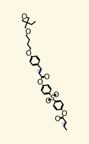 C/C=C/C(=O)Oc1ccc(S(=O)(=O)c2ccc(OC(=O)/C=C/c3ccc(OCCCCOCC4(CC)COC4)cc3)cc2)cc1